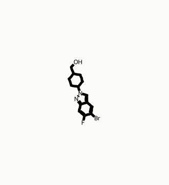 OCC1CCC(n2cc3cc(Br)c(F)cc3n2)CC1